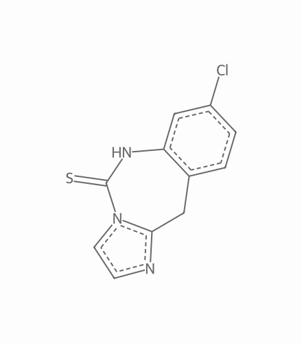 S=C1Nc2cc(Cl)ccc2Cc2nccn21